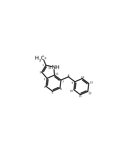 Cc1cc2cccc(Cc3cc[c]cc3)c2[nH]1